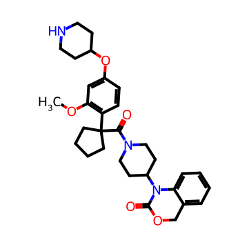 COc1cc(OC2CCNCC2)ccc1C1(C(=O)N2CCC(N3C(=O)OCc4ccccc43)CC2)CCCC1